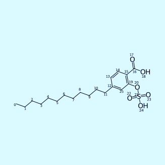 CCCCCCCCCCCCc1ccc(C(=O)O)c(OS(=O)(=O)O)c1